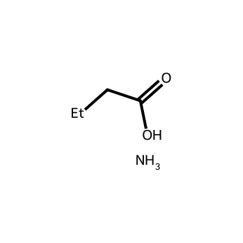 CCCC(=O)O.N